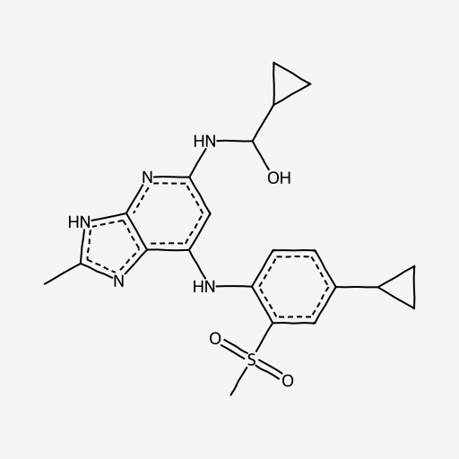 Cc1nc2c(Nc3ccc(C4CC4)cc3S(C)(=O)=O)cc(NC(O)C3CC3)nc2[nH]1